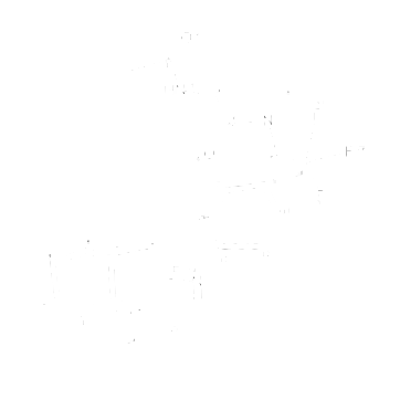 CC(=O)NCC(=O)N(C)C(c1ccc(NC2Cc3ccccc3C2(C)C)cc1)C(F)(F)F